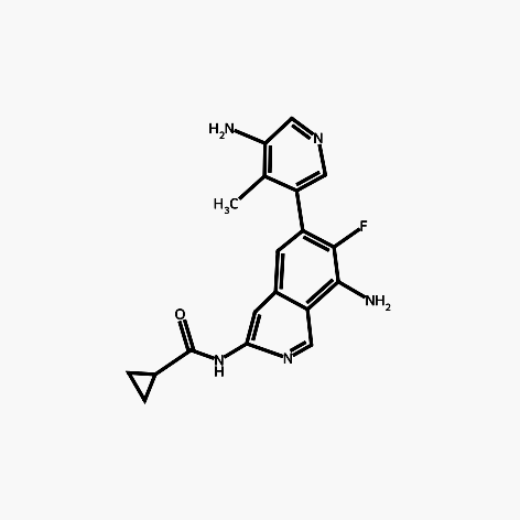 Cc1c(N)cncc1-c1cc2cc(NC(=O)C3CC3)ncc2c(N)c1F